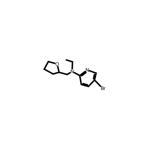 CCN(CC1CCCO1)c1ccc(Br)cn1